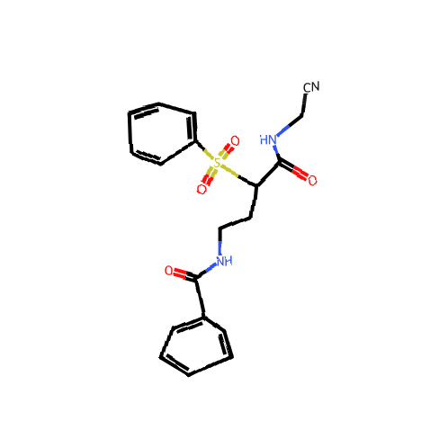 N#CCNC(=O)C(CCNC(=O)c1ccccc1)S(=O)(=O)c1ccccc1